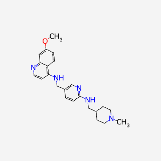 COc1ccc2c(NCc3ccc(NCC4CCN(C)CC4)nc3)ccnc2c1